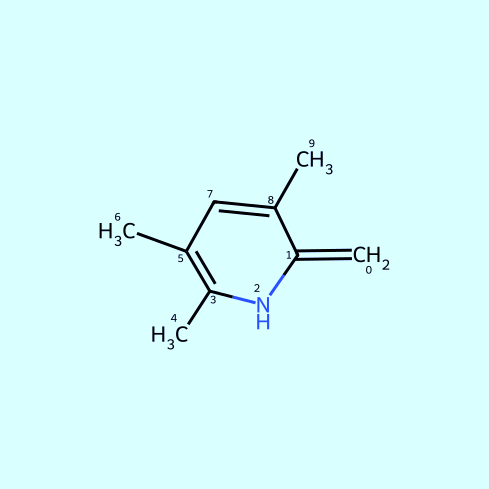 C=C1NC(C)=C(C)C=C1C